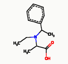 CCN(C(C)C(=O)O)C(C)c1ccccc1